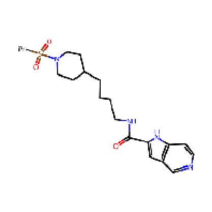 CC(C)S(=O)(=O)N1CCC(CCCCNC(=O)c2cc3cnccc3[nH]2)CC1